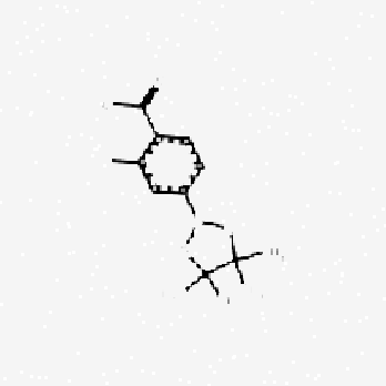 CC1(C)OB(c2ccc(C(=O)Cl)c(F)c2)OC1(C)C